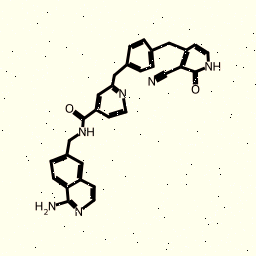 N#Cc1c(Cc2ccc(Cc3cc(C(=O)NCc4ccc5c(N)nccc5c4)ccn3)cc2)cc[nH]c1=O